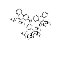 Cc1c(C)c2cc(N(c3ccc4c(c3)C(C)(C)C(C)(C)C4(C)C)c3ccc4c(c3)c(C)c(C)c3ccccc34)ccc2c2ccccc12